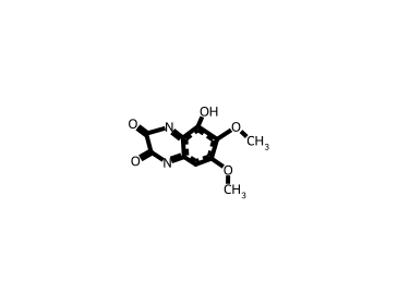 COc1cc2c(c(O)c1OC)=NC(=O)C(=O)N=2